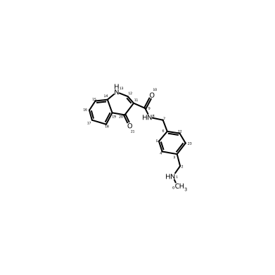 CNCc1ccc(CNC(=O)c2c[nH]c3ccccc3c2=O)cc1